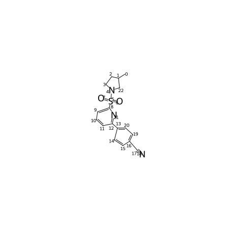 CC1CCN(S(=O)(=O)c2cccc(-c3ccc(C#N)cc3)n2)C1